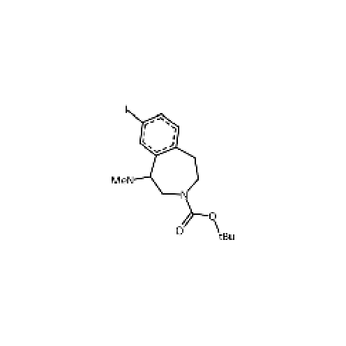 CNC1CN(C(=O)OC(C)(C)C)CCc2ccc(I)cc21